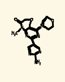 CN1C(=O)COc2c(N3CCOCC3)nc(-c3cnc(N)nc3)nc21